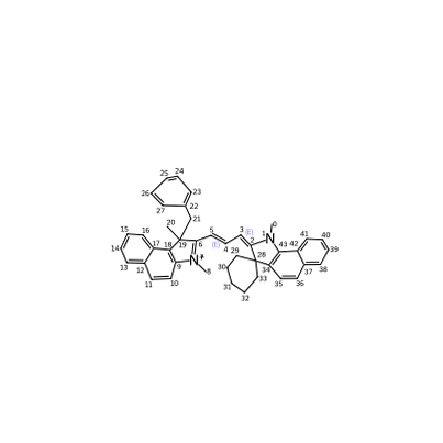 CN1/C(=C/C=C/C2=[N+](C)c3ccc4ccccc4c3C2(C)Cc2ccccc2)C2(CCCCC2)c2ccc3ccccc3c21